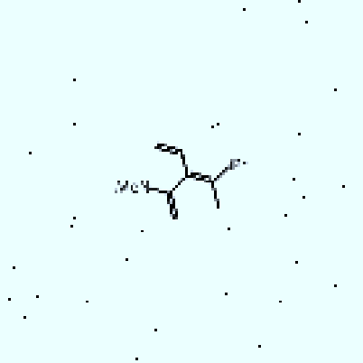 C=C/C(C(=C)NC)=C(/C)C(C)C